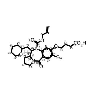 C=CCOC(=O)N1c2cc(OCCCC(=O)O)c(F)cc2C(=O)N2CCC[C@H]2C1CC1CCCCO1